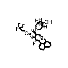 O[C@@H]1C[C@@H]2CN(c3nc(OCCC(F)(F)F)nc4c(F)c(-c5cccc6cccc(Cl)c56)ncc34)C[C@H]1N2